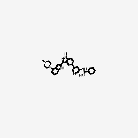 CN1CCN(c2cccc3[nH]c(-c4n[nH]c5ccc(-c6cncc(NC(O)c7ccccc7)c6)cc45)cc23)CC1